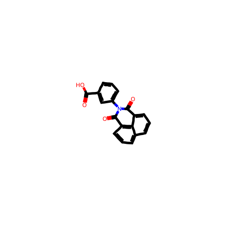 O=C(O)c1cccc(N2C(=O)c3cccc4cccc(c34)C2=O)c1